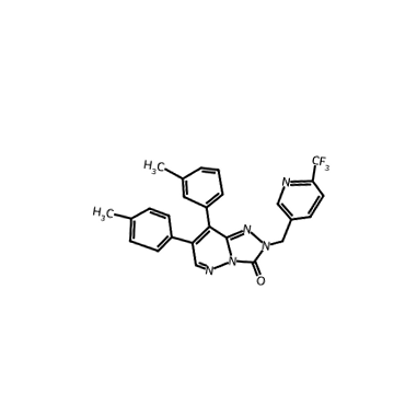 Cc1ccc(-c2cnn3c(=O)n(Cc4ccc(C(F)(F)F)nc4)nc3c2-c2cccc(C)c2)cc1